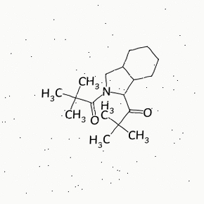 CC(C)(C)C(=O)C1C2CCCCC2CN1C(=O)C(C)(C)C